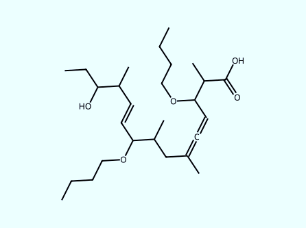 CCCCOC(C=CC(C)C(O)CC)C(C)CC(C)=C=CC(OCCCC)C(C)C(=O)O